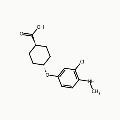 CNc1ccc(O[C@H]2CC[C@H](C(=O)O)CC2)cc1Cl